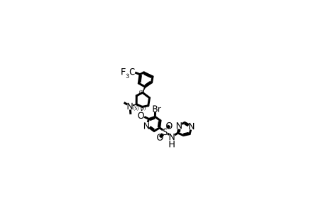 CN(C)[C@H]1C[C@@H](c2cccc(C(F)(F)F)c2)CC[C@@H]1Oc1ncc(S(=O)(=O)Nc2ccncn2)cc1Br